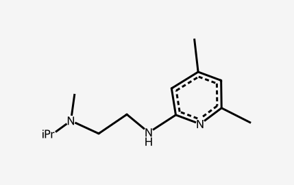 Cc1cc(C)nc(NCCN(C)C(C)C)c1